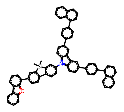 C[Si]1(C)c2cc(-c3cccc4c3oc3ccccc34)ccc2-c2ccc(-n3c4ccc(-c5ccc(-c6cccc7ccccc67)cc5)cc4c4cc(-c5ccc(-c6cccc7ccccc67)cc5)ccc43)cc21